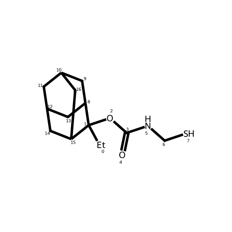 CCC1(OC(=O)NCS)C2CC3CC(C2)CC1C3